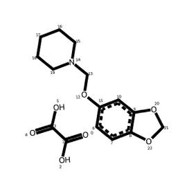 O=C(O)C(=O)O.c1cc2c(cc1OCN1CCCCC1)OCO2